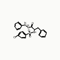 O=C(NNc1ccccc1)C(Cc1ccccc1)NS(=O)(=O)c1ccc(Cl)cc1